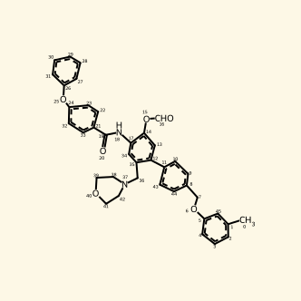 Cc1cccc(OCc2ccc(-c3cc(OC=O)c(NC(=O)c4ccc(Oc5ccccc5)cc4)cc3CN3CCOCC3)cc2)c1